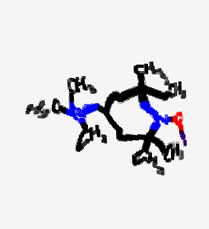 CC1(C)CC([N+](C)(C)C)CC(C)(C)N1OI